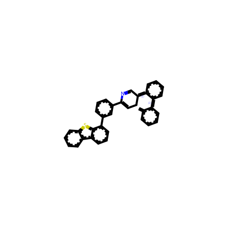 C=c1cccc/c1=c1\cccc\c1=C1/C=NC(c2cccc(-c3cccc4c3sc3ccccc34)c2)=CC1